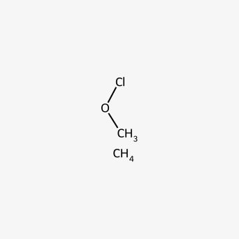 C.COCl